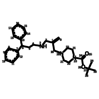 C=C(CNCCC(c1ccccc1)c1ccccc1)CN1CCN(C(=O)OC(C)(C)C)CC1